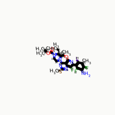 CC[C@H]1[C@H]2[C@H](C)Oc3nc(-c4c(F)c(N)c(F)c(C)c4I)c(F)c4nc(SC)nc(c34)N2CCN1C(=O)OC(C)(C)C